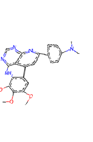 COc1cc(-c2cc(-c3ccc(N(C)C)cc3)nc3ncnc(N)c23)cc(OC)c1OC